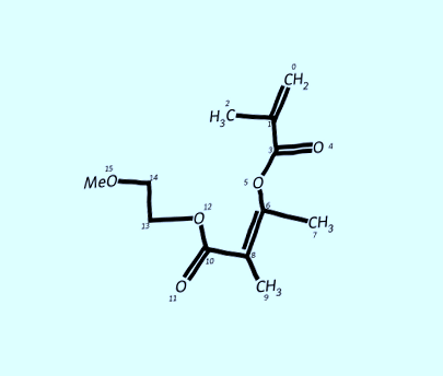 C=C(C)C(=O)OC(C)=C(C)C(=O)OCCOC